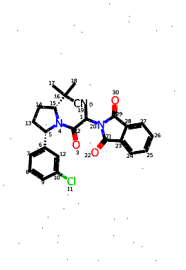 CC(C(=O)N1[C@H](c2cccc(Cl)c2)CC[C@@H]1C(C)(C)C#N)N1C(=O)c2ccccc2C1=O